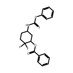 O=C(OC1CC(NC(=S)Oc2ccccc2)CCC1(F)F)c1ccccc1